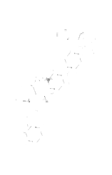 CNC(C)=C(C(=O)OCc1ccccc1)C(=O)c1ccc(-c2ccc(C3(C(=O)OC(C)C)CC3)cc2)cc1